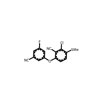 CSc1ccc(Oc2cc(F)cc(C#N)c2)c(C#N)c1Cl